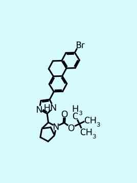 CC(C)(C)OC(=O)N1C2CCC(C2)C1c1ncc(-c2ccc3c(c2)CCc2cc(Br)ccc2-3)[nH]1